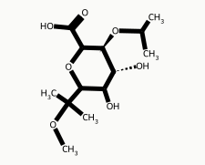 COC(C)(C)C1OC(C(=O)O)[C@@H](OC(C)C)[C@H](O)C1O